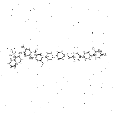 CCc1cc(Nc2ncc(Br)c(Nc3ccc4nccnc4c3P(C)(C)=O)n2)c(OC)cc1N1CCC(N2CCN(CCN3CCN(c4ccc(N5CCC(=O)NC5=O)cc4)CC3)CC2)CC1